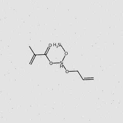 C=CCO[SiH](O[SiH3])OC(=O)C(=C)C